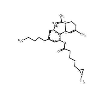 C=C(C)[C@@H]1CCC(C)=C[C@H]1c1c(O)cc(CCCCC)cc1OC(=O)CCCCC1CN1C